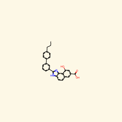 CCCc1ccc(-c2cccc(-c3nc4c(ccc5cc(C(=O)O)cc(O)c54)[nH]3)c2)cc1